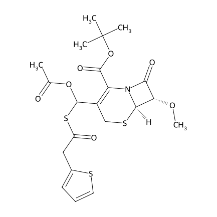 CO[C@H]1C(=O)N2C(C(=O)OC(C)(C)C)=C(C(OC(C)=O)SC(=O)Cc3cccs3)CS[C@H]12